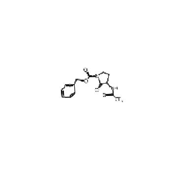 O=C(OCc1ccccc1)N1CCC(NC(=O)C(F)(F)F)C1=O